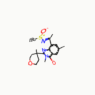 CC(=N[S@+]([O-])C(C)(C)C)c1cc(C)cc2c(=O)n(C)c(C3(C)CCOCC3)nc12